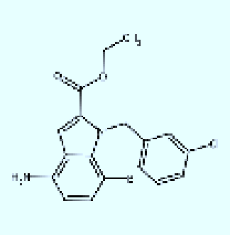 CCOC(=O)c1cc2c(N)ccc(Br)c2n1Cc1cccc(Cl)c1